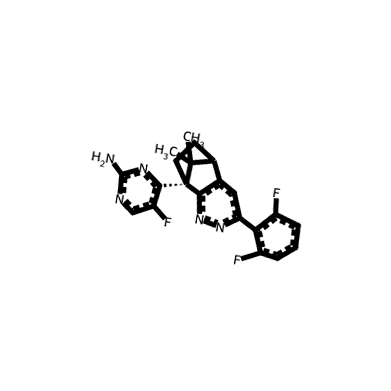 CC1(C)C2CC[C@]1(c1nc(N)ncc1F)c1nnc(-c3c(F)cccc3F)cc12